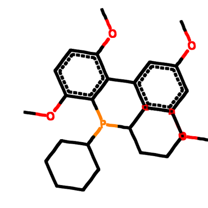 COc1cc(OC)cc(-c2c(OC)ccc(OC)c2P(C2CCCCC2)C2CCCCC2)c1